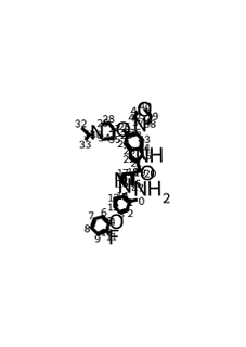 Cc1cc(Oc2ccccc2F)ccc1-n1ncc(C(=O)c2cc3cc(OC4CCN(C(C)C)CC4)c(N4CCOCC4)cc3[nH]2)c1N